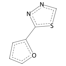 c1coc(-c2nncs2)c1